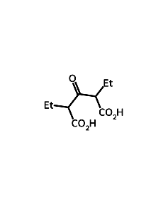 CCC(C(=O)O)C(=O)C(CC)C(=O)O